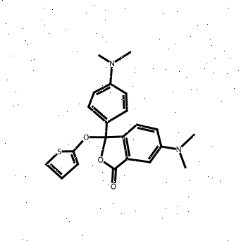 CN(C)c1ccc(C2(Oc3cccs3)OC(=O)c3cc(N(C)C)ccc32)cc1